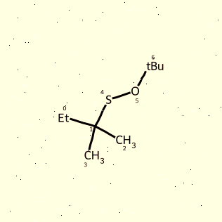 CCC(C)(C)SOC(C)(C)C